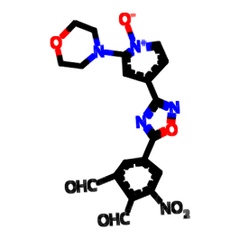 O=Cc1cc(-c2nc(-c3cc[n+]([O-])c(N4CCOCC4)c3)no2)cc([N+](=O)[O-])c1C=O